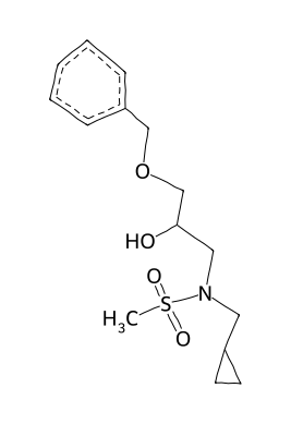 CS(=O)(=O)N(CC(O)COCc1ccccc1)CC1CC1